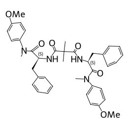 COc1ccc(N(C)C(=O)[C@H](Cc2ccccc2)NC(=O)C(C)(C)C(=O)N[C@@H](Cc2ccccc2)C(=O)N(C)c2ccc(OC)cc2)cc1